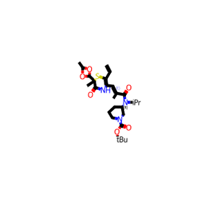 C=CC1=C(/C=C(\C)C(=O)N(C(C)C)[C@@H]2CCCN(C(=O)OC(C)(C)C)C2)NC(=O)C(C)(C2OC(C)O2)S1